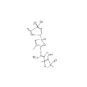 [CH2]CC(C)(C)C(O)C(C)(Br)C(=O)C(CC)C1OC(CC)(C2CCC(O)(CC)C(C)O2)CC1C